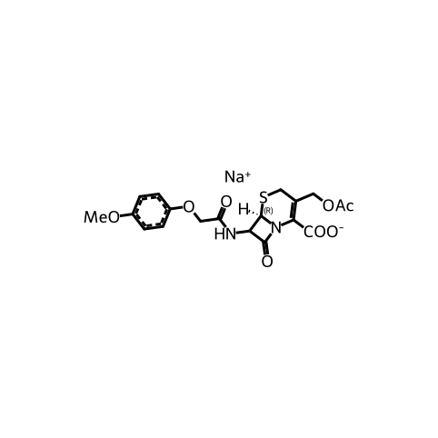 COc1ccc(OCC(=O)NC2C(=O)N3C(C(=O)[O-])=C(COC(C)=O)CS[C@H]23)cc1.[Na+]